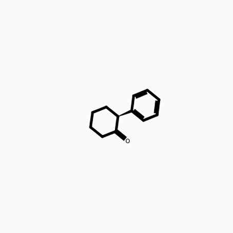 O=C1CCCC[C@H]1c1ccccc1